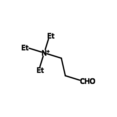 CC[N+](CC)(CC)CCC=O